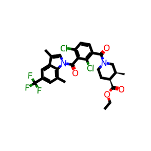 CCOC(=O)[C@H]1CCN(C(=O)c2ccc(Cl)c(C(=O)n3cc(C)c4cc(C(F)(F)F)cc(C)c43)c2Cl)C[C@H]1C